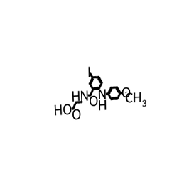 COc1ccc(Nc2ccc(I)cc2C(=O)NCCC(=O)O)cc1